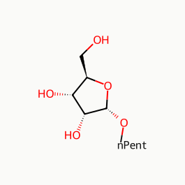 CCCCCO[C@H]1O[C@H](CO)[C@@H](O)[C@H]1O